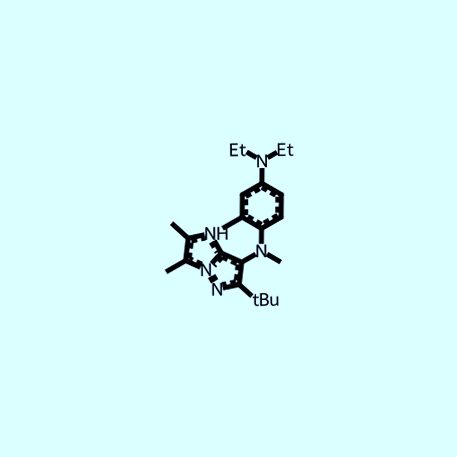 CCN(CC)c1ccc(N(C)c2c(C(C)(C)C)nn3c(C)c(C)[nH]c23)c(C)c1